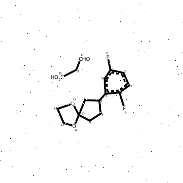 Fc1ccc(F)c(C2CCC3(C2)OCCO3)c1.O=CCC(=O)O